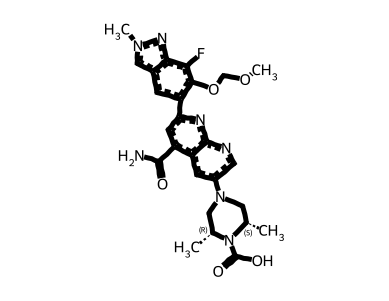 COCOc1c(-c2cc(C(N)=O)c3cc(N4C[C@@H](C)N(C(=O)O)[C@@H](C)C4)cnc3n2)cc2cn(C)nc2c1F